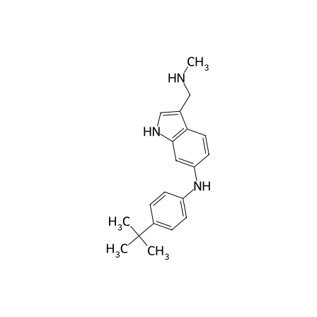 CNCc1c[nH]c2cc(Nc3ccc(C(C)(C)C)cc3)ccc12